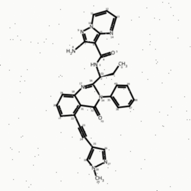 CC[C@H](NC(=O)c1c(N)nn2cccnc12)c1nc2cccc(C#Cc3cnn(C)c3)c2c(=O)n1-c1ccccc1